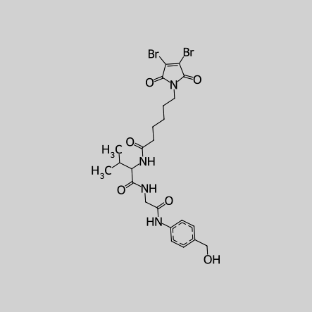 CC(C)C(NC(=O)CCCCCN1C(=O)C(Br)=C(Br)C1=O)C(=O)NCC(=O)Nc1ccc(CO)cc1